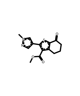 COC(=O)c1c(-c2cnn(C)c2)sc2c1CCCC2=O